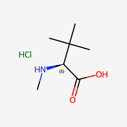 CN[C@H](C(=O)O)C(C)(C)C.Cl